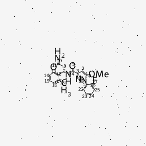 COc1cc(C(=O)N[C@@H](CC(N)=O)c2ccccc2C)nn1-c1ccccc1F